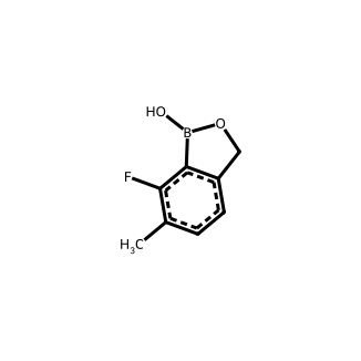 Cc1ccc2c(c1F)B(O)OC2